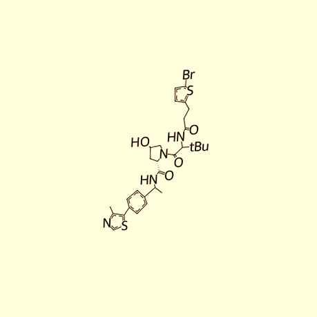 Cc1ncsc1-c1ccc(C(C)NC(=O)[C@@H]2C[C@@H](O)CN2C(=O)C(NC(=O)CCc2ccc(Br)s2)C(C)(C)C)cc1